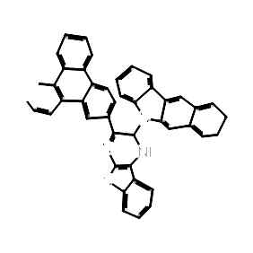 C/C=C\c1c(C)c2ccccc2c2ccc(C3=Nc4sc5ccccc5c4NC3n3c4ccccc4c4cc5c(cc43)=CCCC=5)cc12